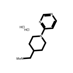 CNCC1CCN(c2ccncn2)CC1.Cl.Cl